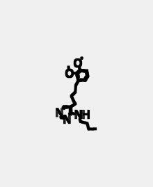 CCCCNc1ncncc1CCCCc1cccc(OC)c1OC